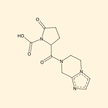 O=C(C1CCC(=O)N1C(=O)O)N1CCn2ccnc2C1